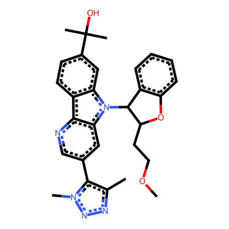 COCCC1Oc2ccccc2C1n1c2cc(C(C)(C)O)ccc2c2ncc(-c3c(C)nnn3C)cc21